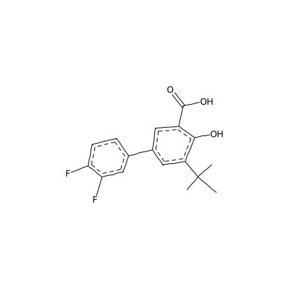 CC(C)(C)c1cc(-c2ccc(F)c(F)c2)cc(C(=O)O)c1O